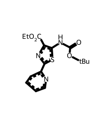 CCOC(=O)c1nc(-c2ccccn2)sc1NC(=O)OC(C)(C)C